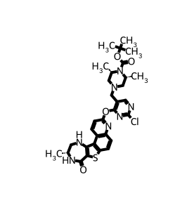 C[C@@H]1CNc2c(sc3ccc4nc(Oc5nc(Cl)ncc5CN5C[C@@H](C)N(C(=O)OC(C)(C)C)[C@@H](C)C5)ccc4c23)C(=O)N1